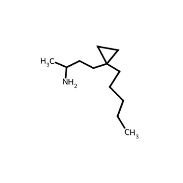 CCCCCC1(CCC(C)N)CC1